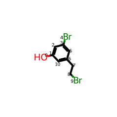 Oc1cc(Br)cc(CCBr)c1